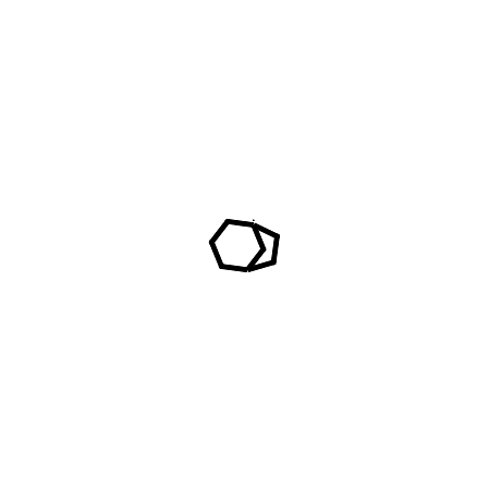 C1C[C]2CCC(C1)C2